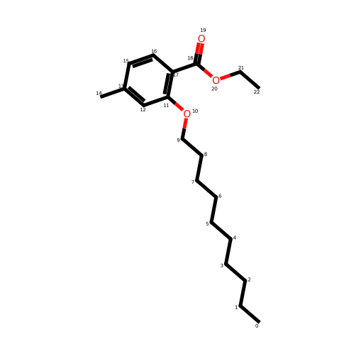 CCCCCCCCCCOc1cc(C)ccc1C(=O)OCC